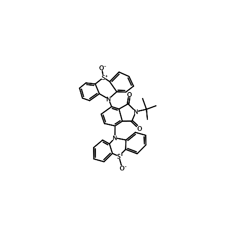 CC(C)(C)N1C(=O)c2c(N3c4ccccc4[S+]([O-])c4ccccc43)ccc(N3c4ccccc4[S+]([O-])c4ccccc43)c2C1=O